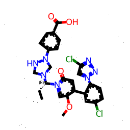 CC[C@H](N1CNN(c2ccc(C(=O)O)cc2)C1)n1cc(OC)c(-c2cc(Cl)ccc2-n2cc(Cl)nn2)cc1=O